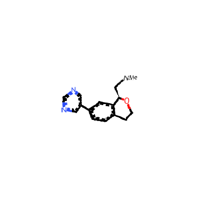 CNC[C@H]1OCCc2ccc(-c3cncnc3)cc21